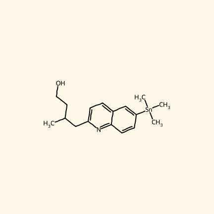 CC(CCO)Cc1ccc2c[c]([Sn]([CH3])([CH3])[CH3])ccc2n1